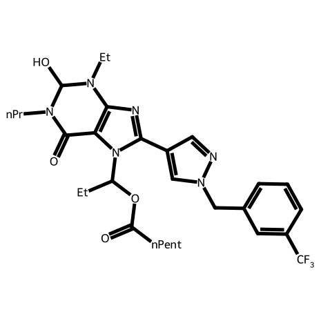 CCCCCC(=O)OC(CC)n1c(-c2cnn(Cc3cccc(C(F)(F)F)c3)c2)nc2c1C(=O)N(CCC)C(O)N2CC